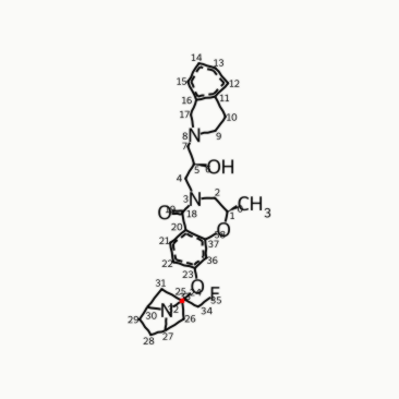 C[C@@H]1CN(C[C@H](O)CN2CCc3ccccc3C2)C(=O)c2ccc(OC3CC4CCC(C3)N4CCF)cc2O1